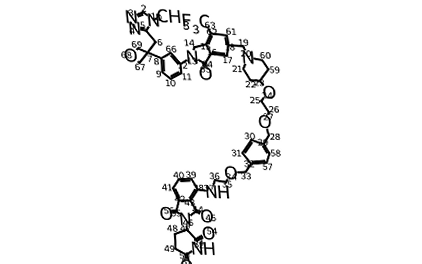 Cn1cnnc1CC1(c2cccc(N3Cc4c(cc(CN5CCC(OCCOCc6ccc(COCCNc7cccc8c7C(=O)N(C7CCC(=O)NC7=O)C8=O)cc6)CC5)cc4C(F)(F)F)C3=O)c2)COC1